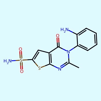 Cc1nc2sc(S(N)(=O)=O)cc2c(=O)n1-c1ccccc1N